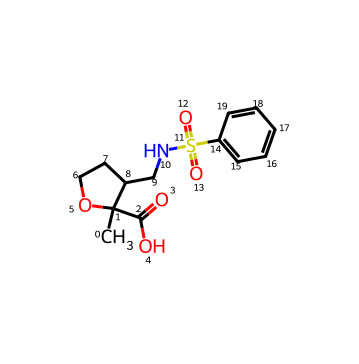 CC1(C(=O)O)OCCC1CNS(=O)(=O)c1ccccc1